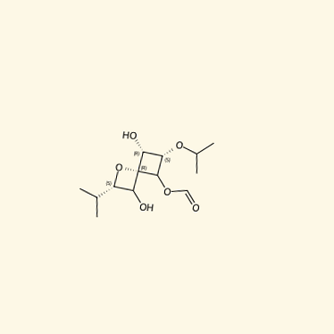 CC(C)O[C@@H]1C(OC=O)[C@]2(O[C@@H](C(C)C)C2O)[C@@H]1O